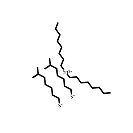 CC(C)CCCCC[S-].CC(C)CCCCC[S-].CCCCCCC[CH2][Sn+2][CH2]CCCCCCC